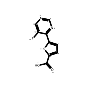 O=C(O)c1ccc(-c2ncncc2F)s1